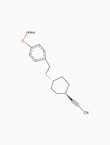 CCCCCCOc1ccc(CC[C@H]2CC[C@H](C#CC#N)CC2)cc1